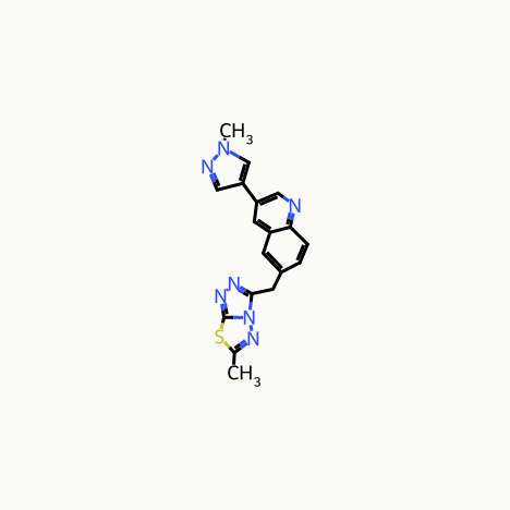 Cc1nn2c(Cc3ccc4ncc(-c5cnn(C)c5)cc4c3)nnc2s1